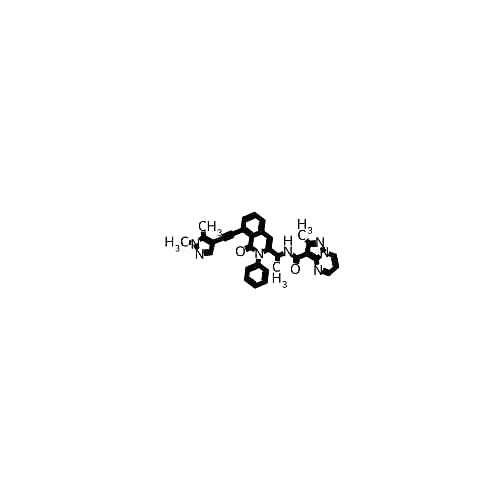 Cc1nn2cccnc2c1C(=O)NC(C)c1cc2cccc(C#Cc3cnn(C)c3C)c2c(=O)n1-c1ccccc1